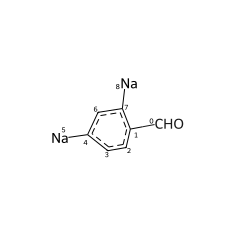 O=Cc1cc[c]([Na])c[c]1[Na]